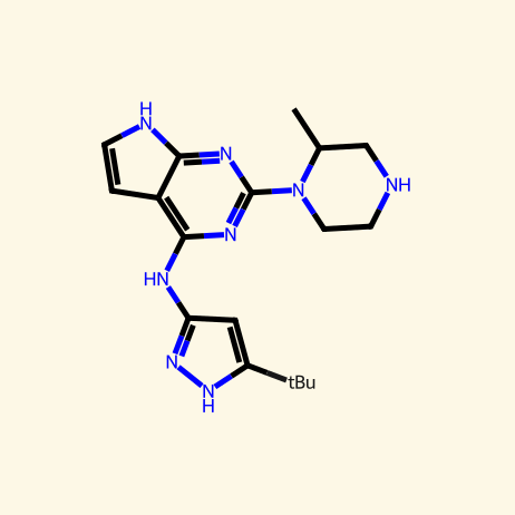 CC1CNCCN1c1nc(Nc2cc(C(C)(C)C)[nH]n2)c2cc[nH]c2n1